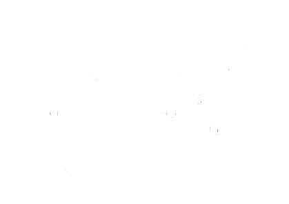 C1CCCCC1.CC(C)C(=O)Cc1cccs1.CCCCS(=O)(=O)O